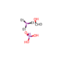 CCP(CC)CC.O=CO.O=[PH](O)O